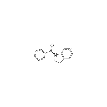 O=C(c1ccccc1)N1CCc2cc[c]cc21